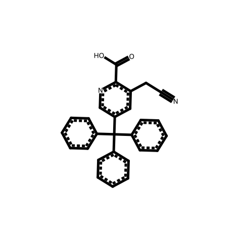 N#CCc1cc(C(c2ccccc2)(c2ccccc2)c2ccccc2)cnc1C(=O)O